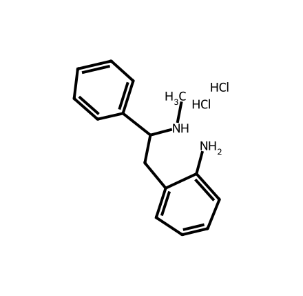 CNC(Cc1ccccc1N)c1ccccc1.Cl.Cl